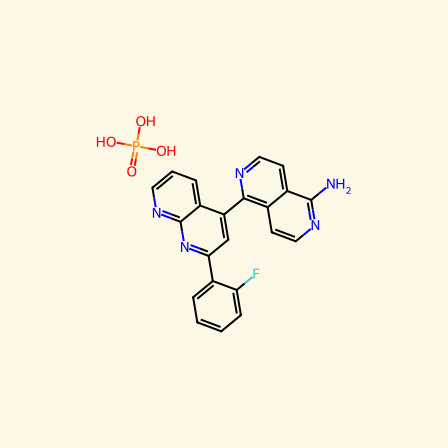 Nc1nccc2c(-c3cc(-c4ccccc4F)nc4ncccc34)nccc12.O=P(O)(O)O